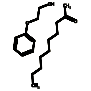 CCCCCCCCC(C)=O.OCCOc1ccccc1